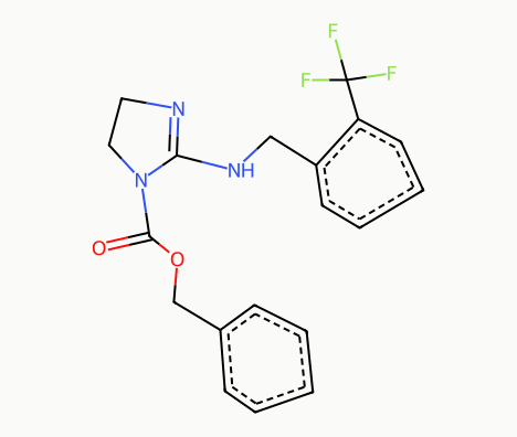 O=C(OCc1ccccc1)N1CCN=C1NCc1ccccc1C(F)(F)F